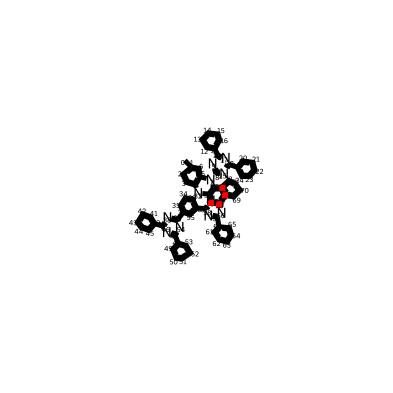 Cc1ccc2c(c1)N(c1nc(-c3ccccc3)nc(-c3ccccc3)n1)c1ccccc1N2c1ccc(-c2nc(-c3ccccc3)nc(-c3ccccc3)n2)cc1-c1nc(-c2ccccc2)nc(-c2ccccc2)n1